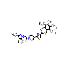 Cc1cc(C)n(CC(=O)N2CCC(c3nc(C4SCc5c(C)c(C)c(C)c(C)c5CS4)cs3)CC2)n1